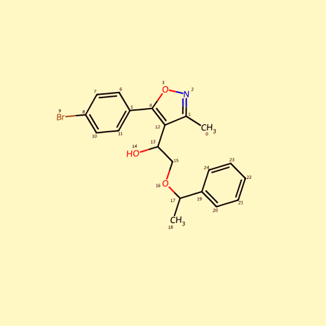 Cc1noc(-c2ccc(Br)cc2)c1C(O)COC(C)c1ccccc1